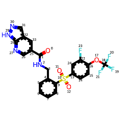 O=C(NCc1ccccc1S(=O)(=O)c1ccc(OC(F)(F)F)c(F)c1)c1cnc2[nH]ncc2c1